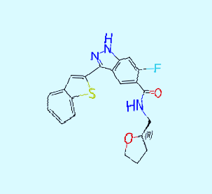 O=C(NC[C@H]1CCCO1)c1cc2c(-c3cc4ccccc4s3)n[nH]c2cc1F